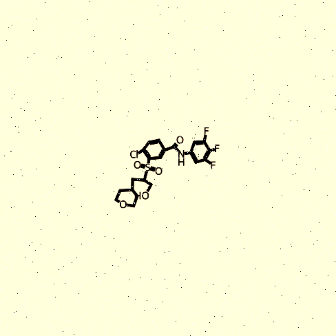 O=C(Nc1cc(F)c(F)c(F)c1)c1ccc(Cl)c(S(=O)(=O)C(CO)CC2CCOCC2)c1